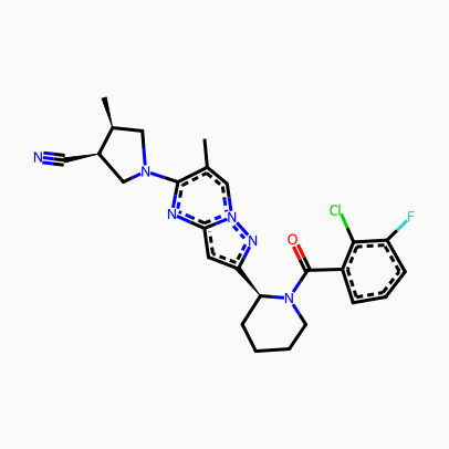 Cc1cn2nc([C@@H]3CCCCN3C(=O)c3cccc(F)c3Cl)cc2nc1N1C[C@@H](C#N)[C@@H](C)C1